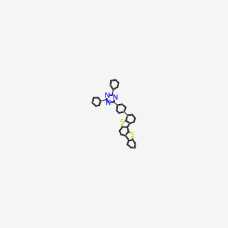 c1ccc(-c2nc(-c3ccccc3)nc(-c3ccc(-c4cccc5c4sc4ccc6c7ccccc7sc6c45)cc3)n2)cc1